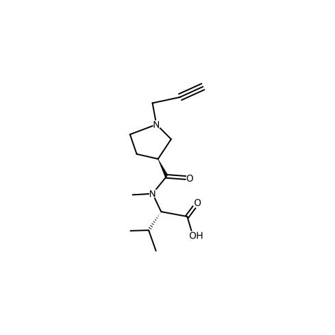 C#CCN1CC[C@H](C(=O)N(C)[C@H](C(=O)O)C(C)C)C1